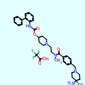 CN(CCN1CCC(OC(=O)Nc2ccccc2-c2ccccc2)CC1)C(=O)c1ccc(CN2CCC(N)(C(=O)O)CC2)cc1.O=C(O)C(F)(F)F